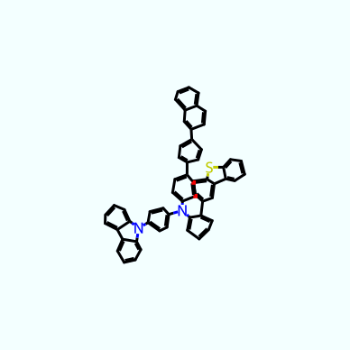 c1ccc(N(c2ccc(-c3ccc(-c4ccc5ccccc5c4)cc3)cc2)c2ccc(-n3c4ccccc4c4ccccc43)cc2)c(-c2ccc3sc4ccccc4c3c2)c1